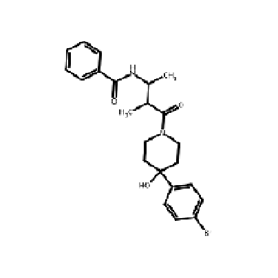 CC(NC(=O)c1ccccc1)C(C)C(=O)N1CCC(O)(c2ccc(Br)cc2)CC1